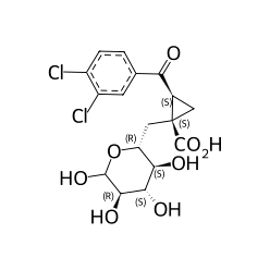 O=C(c1ccc(Cl)c(Cl)c1)[C@H]1C[C@@]1(C[C@H]1OC(O)[C@H](O)[C@@H](O)[C@@H]1O)C(=O)O